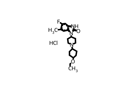 CCOC1CCC(N2CCC(n3c(=O)[nH]c4cc(F)c(C)cc43)CC2)CC1.Cl